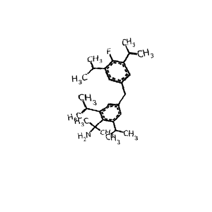 CC(C)c1cc(Cc2cc(C(C)C)c(C(C)(C)N)c(C(C)C)c2)cc(C(C)C)c1F